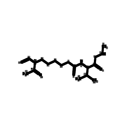 CNCC(=O)C(NC(=O)CCCCCN(C=O)C(C)=O)C(C)C